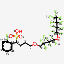 O=S(=O)(O)[C@@H](CCCOCC(F)(F)C(F)(F)C(F)(F)OC(F)(F)C(F)(F)C(F)(F)C(F)(F)F)c1ccccc1F